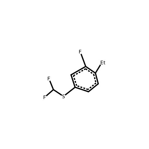 CCc1ccc(SC(F)F)cc1F